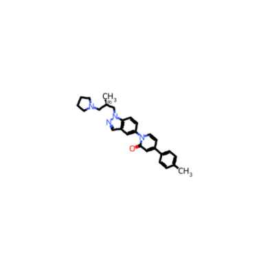 Cc1ccc(-c2ccn(-c3ccc4c(cnn4C[C@H](C)CN4CCCC4)c3)c(=O)c2)cc1